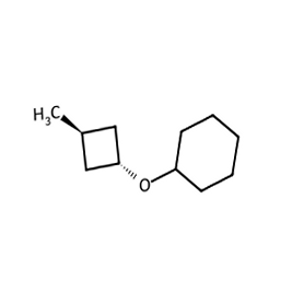 C[C@H]1C[C@H](OC2CCCCC2)C1